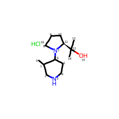 CC1CNCCC1N1CCC[C@H]1C(C)(C)O.Cl